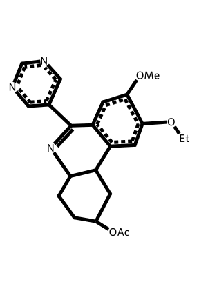 CCOc1cc2c(cc1OC)C(c1cncnc1)=NC1CCC(OC(C)=O)CC21